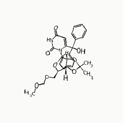 COCOC[C@H]1O[C@@H](n2c(C(O)(c3ccccc3)c3ccccc3)cc(=O)[nH]c2=O)[C@@H]2OC(C)(C)O[C@@H]21